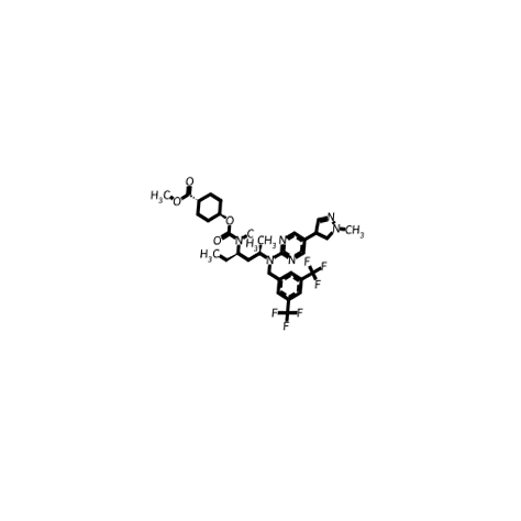 CC[C@H](C[C@@H](C)N(Cc1cc(C(F)(F)F)cc(C(F)(F)F)c1)c1ncc(C2C=NN(C)C2)cn1)N(C)C(=O)O[C@H]1CC[C@H](C(=O)OC)CC1